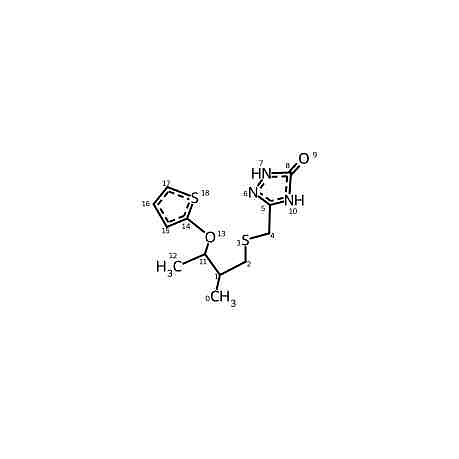 CC(CSCc1n[nH]c(=O)[nH]1)C(C)Oc1cccs1